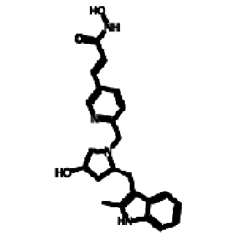 Cc1[nH]c2ccccc2c1C[C@H]1C[C@@H](O)CN1Cc1ccc(/C=C/C(=O)NO)cn1